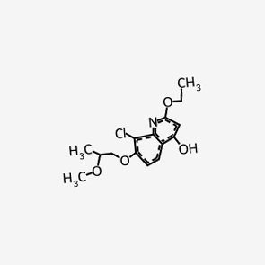 CCOc1cc(O)c2ccc(OCC(C)OC)c(Cl)c2n1